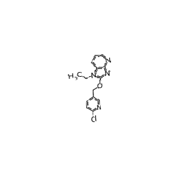 CCn1c(OCc2ccc(Cl)nc2)nc2ncccc21